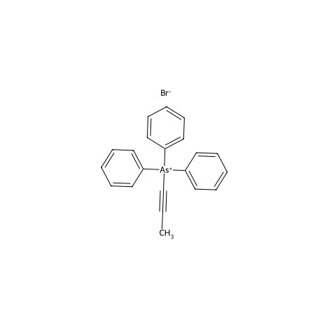 CC#C[As+](c1ccccc1)(c1ccccc1)c1ccccc1.[Br-]